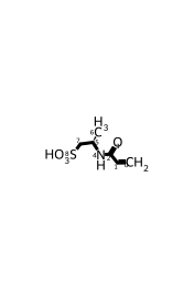 C=CC(=O)N[C@@H](C)CS(=O)(=O)O